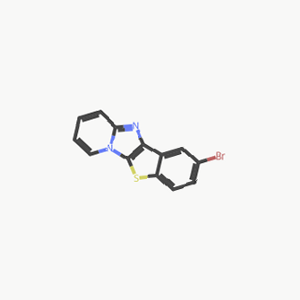 Brc1ccc2sc3c(nc4ccccn43)c2c1